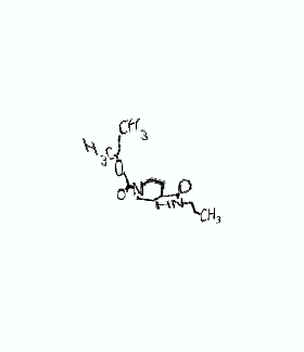 CCCNC(=O)C1CCN(C(=O)COC(C)CCC)CC1